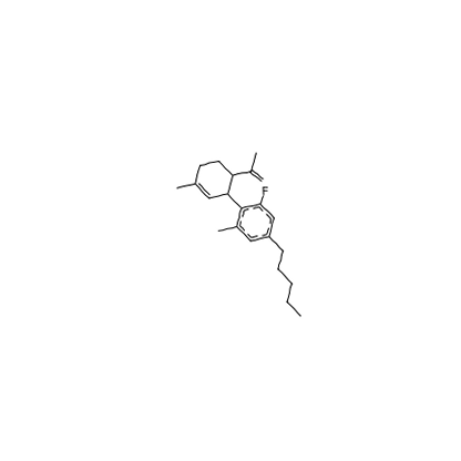 C=C(C)C1CCC(C)=CC1c1c(C)cc(CCCCC)cc1F